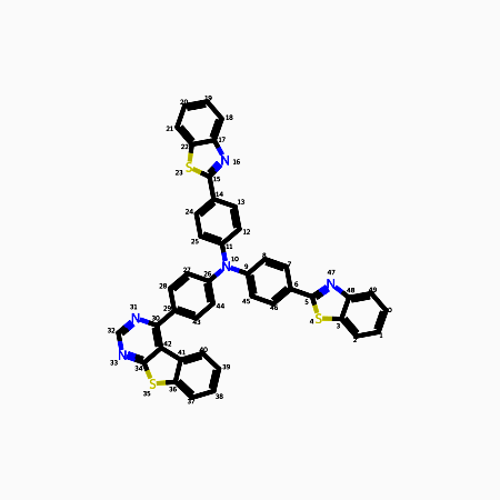 c1ccc2sc(-c3ccc(N(c4ccc(-c5nc6ccccc6s5)cc4)c4ccc(-c5ncnc6sc7ccccc7c56)cc4)cc3)nc2c1